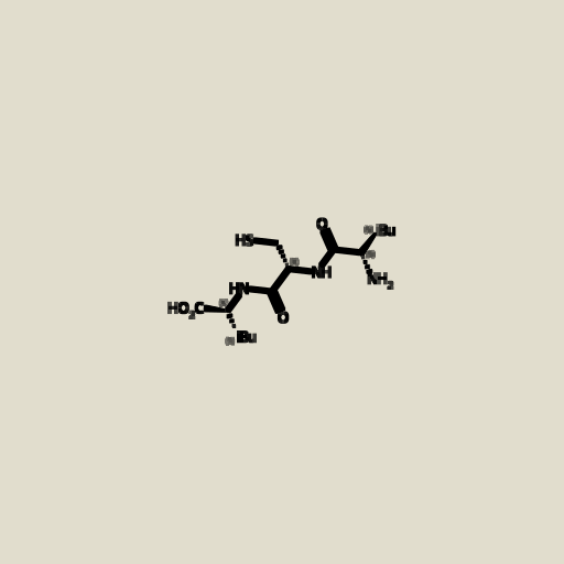 CC[C@H](C)[C@H](N)C(=O)N[C@@H](CS)C(=O)N[C@H](C(=O)O)[C@@H](C)CC